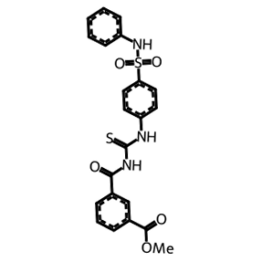 COC(=O)c1cccc(C(=O)NC(=S)Nc2ccc(S(=O)(=O)Nc3ccccc3)cc2)c1